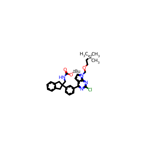 CC(C)(C)OC(=O)NCC1(c2cccc(-c3nc(Cl)nc4c3ccn4COCC[Si](C)(C)C)c2)Cc2ccccc2C1